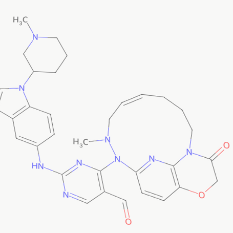 CN1CCCC(n2ccc3cc(Nc4ncc(C=O)c(N5c6ccc7c(n6)N(CCC/C=C\CN5C)C(=O)CO7)n4)ccc32)C1